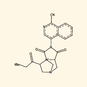 CC(C)(C)CC(=O)C1CN2CC3C(=O)N(c4cnc(C#N)c5ccccc45)C(=O)[N+]13C2